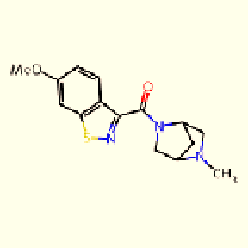 COc1ccc2c(C(=O)N3CC4CC3CN4C)nsc2c1